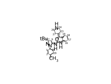 Cc1ccc(-n2nc(C(C)(C)C)cc2NC(=O)Nc2ccccc2CC2CCNCC2)cc1